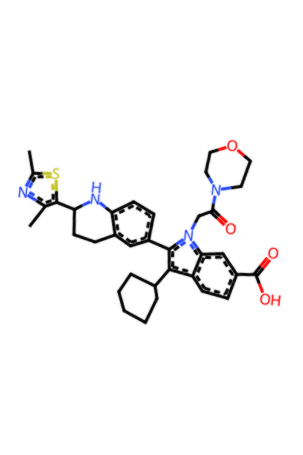 Cc1nc(C)c(C2CCc3cc(-c4c(C5CCCCC5)c5ccc(C(=O)O)cc5n4CC(=O)N4CCOCC4)ccc3N2)s1